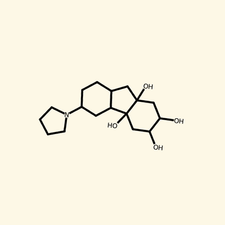 OC1CC2(O)CC3CCC(N4CCCC4)CC3C2(O)CC1O